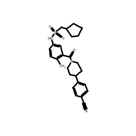 Cc1ccc(NS(=O)(=O)CC2CCCC2)cc1C(=O)N1CCC(c2ccc(C#N)cc2)CC1